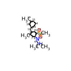 CCN(C)C=Nc1cc(C)c(Cc2cccc(C)c2)cc1S(C)(=O)=O